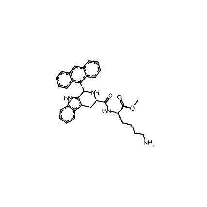 COC(=O)C(CCCCN)NC(=O)C1Cc2c([nH]c3ccccc23)C(c2c3ccccc3cc3ccccc23)N1